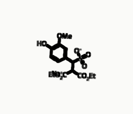 CCOC(=O)C(C(=O)OCC)C(c1ccc(O)c(OC)c1)S(=O)(=O)[O-].[Na+]